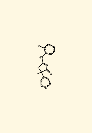 CC1(c2ccncc2)SC(Nc2ccccc2Br)=NC1=O